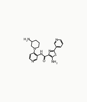 Nc1sc(-c2cccnc2)nc1C(=O)Nc1cnccc1N1CCCC(N)C1